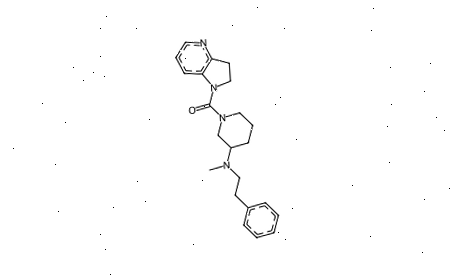 CN(CCc1ccccc1)C1CCCN(C(=O)N2CCc3ncccc32)C1